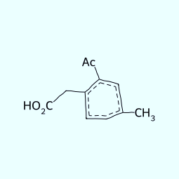 CC(=O)c1cc(C)ccc1CC(=O)O